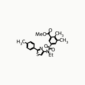 CCN(c1csc(-c2ccc(C)cc2)n1)S(=O)(=O)c1cc(C)c(C)c(C(=O)OC)c1